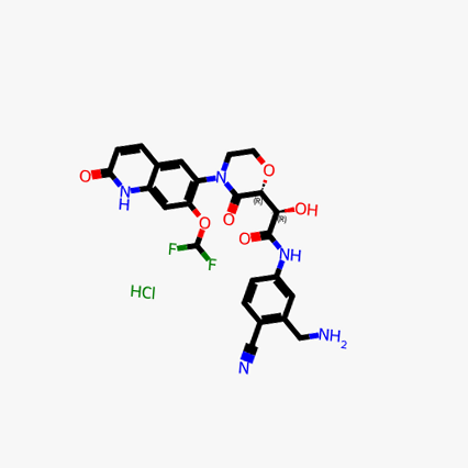 Cl.N#Cc1ccc(NC(=O)[C@H](O)[C@H]2OCCN(c3cc4ccc(=O)[nH]c4cc3OC(F)F)C2=O)cc1CN